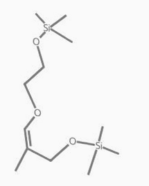 CC(=COCCO[Si](C)(C)C)CO[Si](C)(C)C